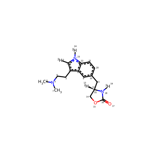 [2H]c1c(CCN(C)C)c2cc(C[C@@]3([2H])COC(=O)N3[2H])ccc2n1[2H]